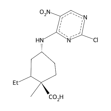 CCC1C[C@H](Nc2nc(Cl)ncc2[N+](=O)[O-])CC[C@@]1(C)C(=O)O